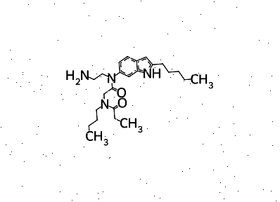 CCCCCc1cc2ccc(N(CCN)C(=O)CN(CCCC)C(=O)CC)cc2[nH]1